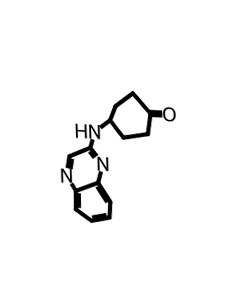 O=C1CCC(Nc2cnc3ccccc3n2)CC1